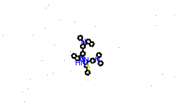 C1=C(c2ccccc2)SC2=C(c3ccc(N(c4ccccc4)c4ccccc4)cc3)N=C(n3c4ccc(-c5ccc6c(c5)c5c7ccccc7ccc5n6-c5ccccc5)cc4c4c5ccccc5ccc43)NC12